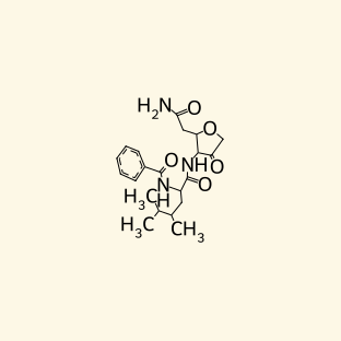 CC(C)C(C)CC(NC(=O)c1ccccc1)C(=O)NC1C(=O)COC1CC(N)=O